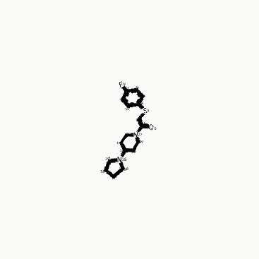 O=C(CSc1ccc(F)cc1)N1CCC(N2CCCC2)CC1